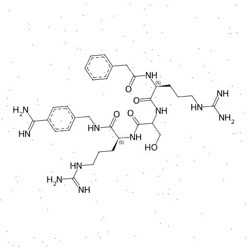 N=C(N)NCCC[C@H](NC(=O)Cc1ccccc1)C(=O)NC(CO)C(=O)N[C@@H](CCCNC(=N)N)C(=O)NCc1ccc(C(=N)N)cc1